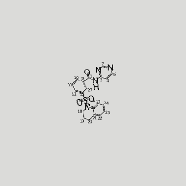 O=C(Nc1ccncn1)c1cccc(S(=O)(=O)N2CCCc3ccccc32)c1